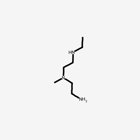 CCNCCN(C)CCN